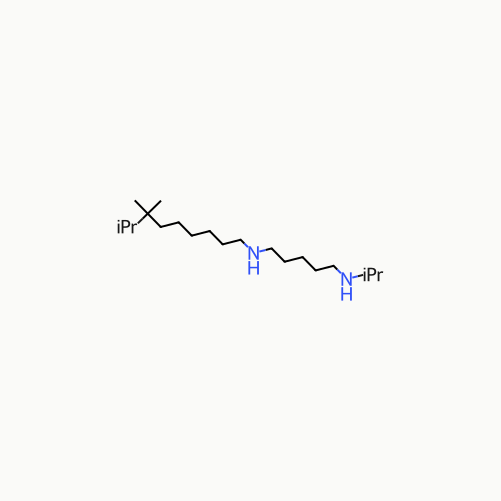 CC(C)NCCCCCNCCCCCCC(C)(C)C(C)C